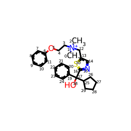 C[N+](C)(CCOc1ccccc1)Cc1cnc(C(O)(c2ccccc2)C2CCCC2)s1